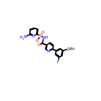 CC(C)COc1cc(F)cc(-c2ccc(C(=O)NS(=O)(=O)c3cccc(N)n3)cn2)c1